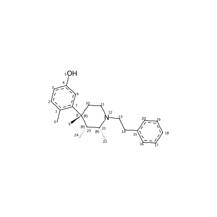 Cc1ccc(O)cc1[C@]1(C)CCN(CCc2ccccc2)[C@H](C)[C@@H]1C